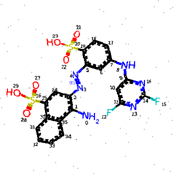 Nc1c(/N=N/c2cc(Nc3cc(F)nc(F)n3)ccc2S(=O)(=O)O)cc(S(=O)(=O)O)c2ccccc12